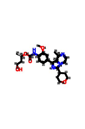 COc1cc(-c2nc(C3CCOCC3)n3ccnc(C)c23)ccc1NC(=O)O[C@@H](C)CCO